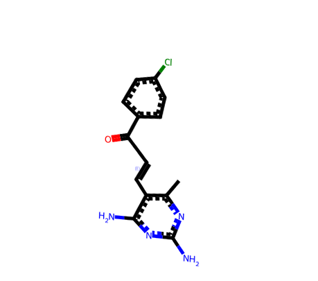 Cc1nc(N)nc(N)c1/C=C/C(=O)c1ccc(Cl)cc1